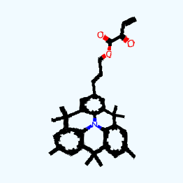 C=CC(=O)C(=O)OCCCc1cc2c3c(c1)C(C)(C)c1cc(C)cc4c1N3c1c(cc(C)cc1C2(C)C)C4(C)C